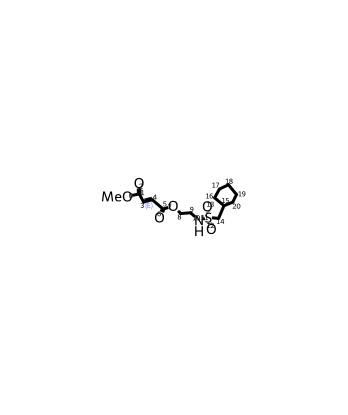 COC(=O)/C=C/C(=O)OCCNS(=O)(=O)CC1CCCCC1